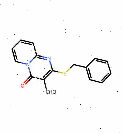 O=Cc1c(SCc2ccccc2)nc2ccccn2c1=O